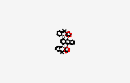 CC1(C)c2ccccc2N(C2=CC=C(N3c4ccccc4C(C)(C)c4ccccc43)C3C2=C(c2ccccc2)c2ccccc2C3c2ccccc2)c2ccccc21